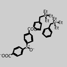 CC[N+](CC)(CC)Cc1ccccc1.CC[N+](CC)(CC)Cc1ccccc1.O=C([O-])c1ccc([S+]([O-])c2ccc(C(=O)[O-])cc2)cc1